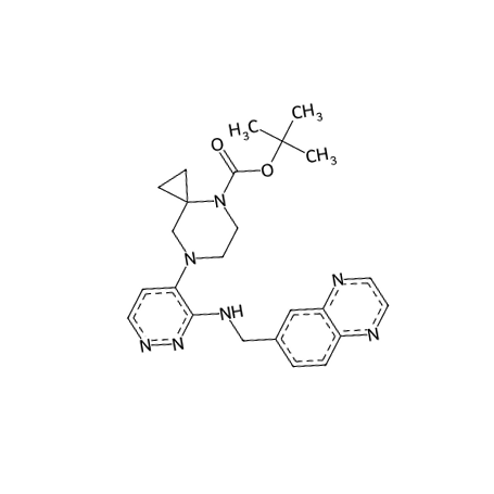 CC(C)(C)OC(=O)N1CCN(c2ccnnc2NCc2ccc3nccnc3c2)CC12CC2